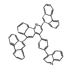 c1ccc2c(c1)cc(-c1cc(-c3ccc(-c4ccnc5ccccc45)cc3)c3cc(-c4cc5ccccc5c5ccccc45)c4ccccc4c3n1)c1ccccc12